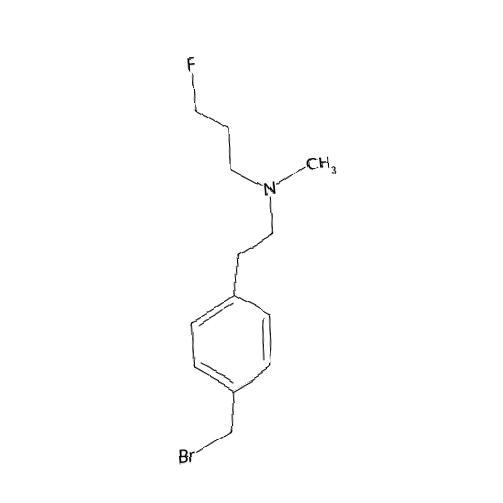 CN(CCCF)CCc1ccc(CBr)cc1